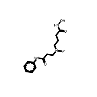 CC(C)N(CCCC(=O)NO)CCC(=O)Nc1ccccc1